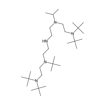 CC(C)N(CCNCCN(CCN(C(C)(C)C)C(C)(C)C)C(C)(C)C)CCN(C(C)(C)C)C(C)(C)C